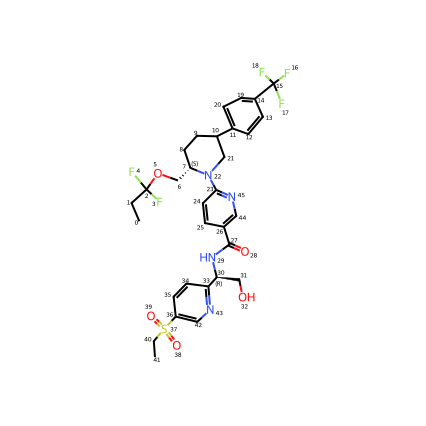 CCC(F)(F)OC[C@@H]1CCC(c2ccc(C(F)(F)F)cc2)CN1c1ccc(C(=O)N[C@@H](CO)c2ccc(S(=O)(=O)CC)cn2)cn1